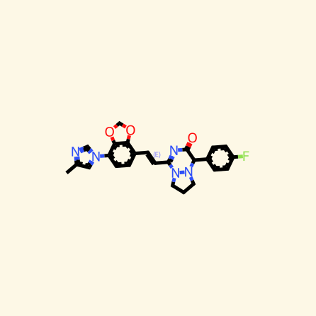 Cc1cn(-c2ccc(/C=C/C3=NC(=O)C(c4ccc(F)cc4)N4CCCN34)c3c2OCO3)cn1